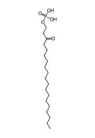 CCCCCCCCCCCCCCCCC(=O)CCOP(=O)(O)O